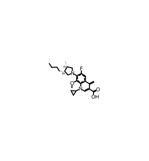 C=C1C(C(=O)O)=CN(C2CC2)c2c1cc(F)c(N1C[C@H](CCCC)[C@H](C)C1)c2OC